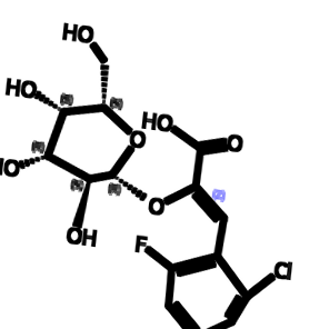 O=C(O)/C(=C/c1c(F)cccc1Cl)O[C@H]1O[C@@H](CO)[C@@H](O)[C@@H](O)[C@@H]1O